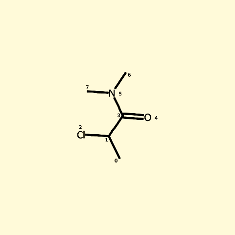 CC(Cl)C(=O)N(C)C